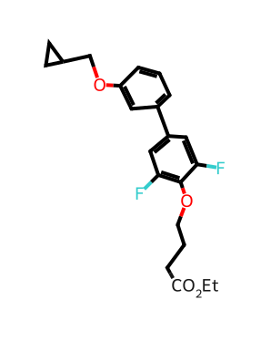 CCOC(=O)CCCOc1c(F)cc(-c2cccc(OCC3CC3)c2)cc1F